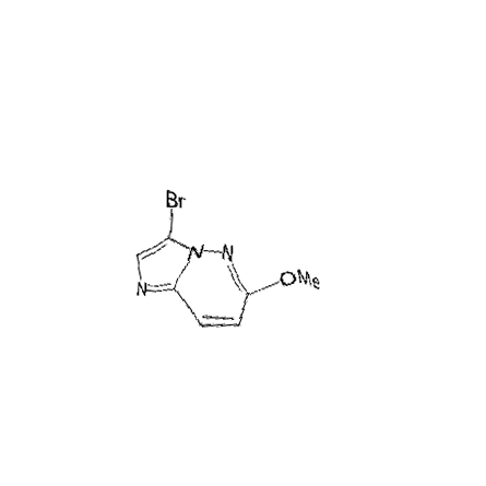 COc1ccc2ncc(Br)n2n1